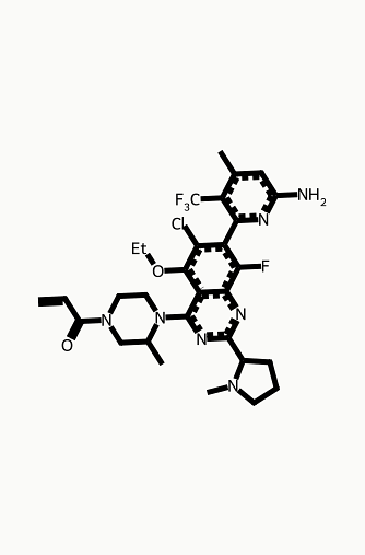 C=CC(=O)N1CCN(c2nc(C3CCCN3C)nc3c(F)c(-c4nc(N)cc(C)c4C(F)(F)F)c(Cl)c(OCC)c23)C(C)C1